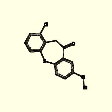 CCOc1ccc2c(c1)C(=O)Cc1c(Cl)cccc1S2